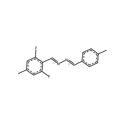 Cc1ccc(/C=N/N=C/c2c(F)cc(C)cc2F)cc1